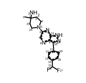 CC1(N)CCN(c2cnc3c(-c4ccc(C(F)F)cc4)n[nH]c3n2)CC1